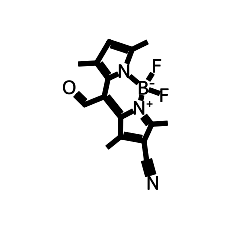 CC1=C(C#N)C(C)=[N+]2C1=C(C=O)c1c(C)cc(C)n1[B-]2(F)F